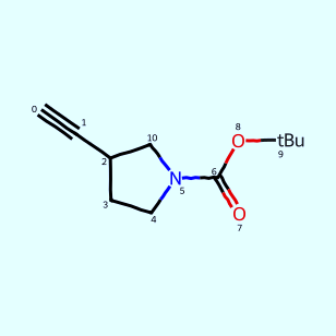 C#CC1CCN(C(=O)OC(C)(C)C)C1